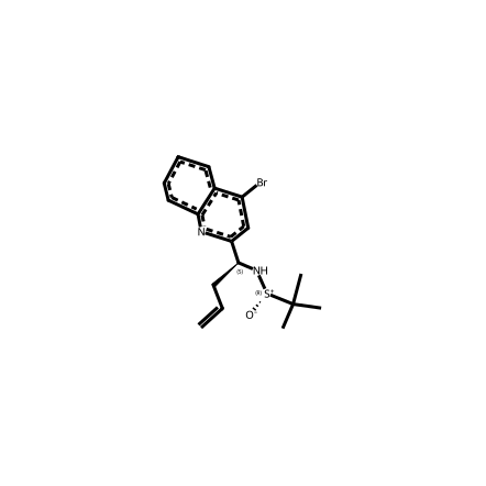 C=CC[C@H](N[S@@+]([O-])C(C)(C)C)c1cc(Br)c2ccccc2n1